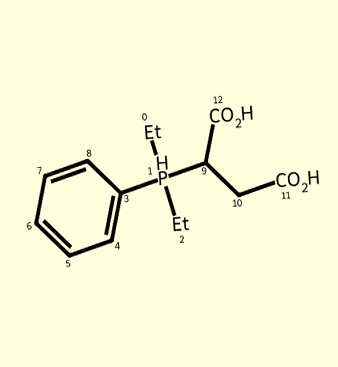 CC[PH](CC)(c1ccccc1)C(CC(=O)O)C(=O)O